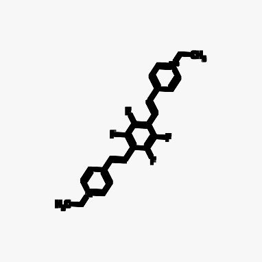 CC[n+]1ccc(/C=C/c2c(F)c(F)c(/C=C/c3cc[n+](CC)cc3)c(F)c2F)cc1